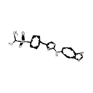 CC(C)S(=O)(=O)c1ccc(-c2csc(Nc3ccc4[nH]cnc4c3)n2)cc1